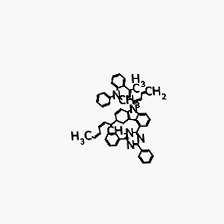 C=C/C=C(\C=C(/C)c1ccccc1N(C)c1ccccc1)n1c2c(c3c(-c4nc(-c5ccccc5)nc(-c5ccccc5)n4)cccc31)CC(C(=C)/C=C\C=C/C)C=C2